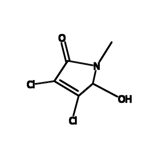 CN1C(=O)C(Cl)=C(Cl)C1O